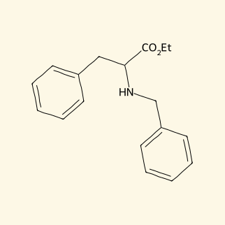 CCOC(=O)C(Cc1ccccc1)NCc1ccccc1